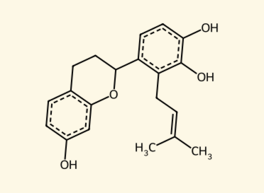 CC(C)=CCc1c(C2CCc3ccc(O)cc3O2)ccc(O)c1O